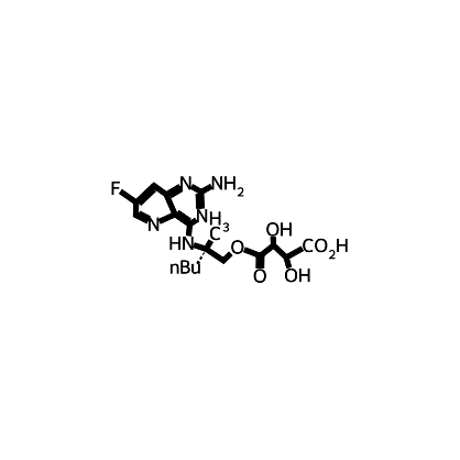 CCCC[C@](C)(COC(=O)C(O)C(O)C(=O)O)Nc1nc(N)nc2cc(F)cnc12